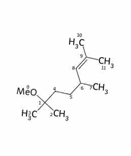 COC(C)(C)CCC(C)C=C(C)C